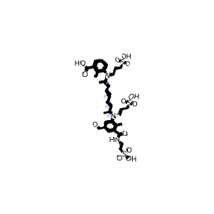 C\C(=C/C=C/C=C/C(C)=[N+](\CCCS(=O)(=O)O)c1cc(C=O)cc(C(=O)NCCS(=O)(=O)O)c1C)N(CCCS(=O)(=O)O)c1cccc(C(=O)O)c1C